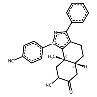 C[C@]12CC(C#N)C(=O)C[C@H]1CCc1c(-c3ccccc3)nn(-c3ccc(C#N)cc3)c12